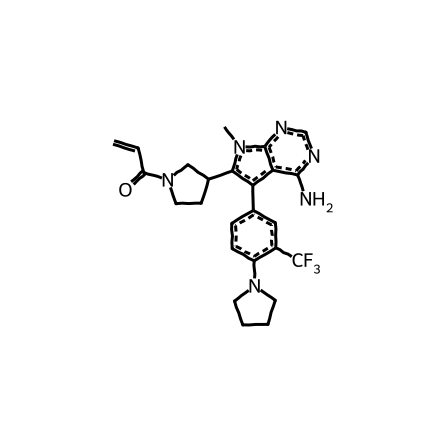 C=CC(=O)N1CCC(c2c(-c3ccc(N4CCCC4)c(C(F)(F)F)c3)c3c(N)ncnc3n2C)C1